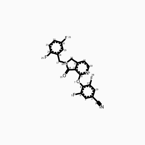 N#Cc1cc(F)c(Oc2nccc3c2C(=O)N(Cc2cc(F)ccc2F)C3)c(F)c1